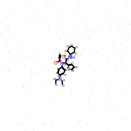 C#CC(=O)N(c1ccc(N(CC)CC)cc1)C(C(=O)NC1CCCCC1)c1cccs1